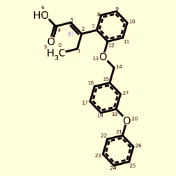 CC/C(=C\C(=O)O)c1ccccc1OCc1cccc(Oc2ccccc2)c1